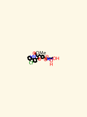 COC(=O)c1[nH]c2c(-c3ccccc3)c(Cl)ccc2c(=O)c1Cc1ccc(S(=O)(=O)NCC(O)CO)cc1